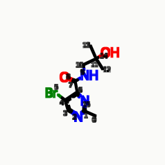 Cc1ncc(Br)c(C(=O)NCC(C)(C)O)n1